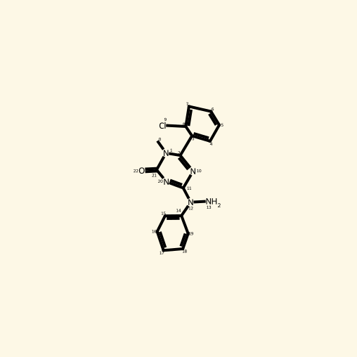 Cn1c(-c2ccccc2Cl)nc(N(N)c2ccccc2)nc1=O